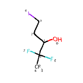 OC(CCI)C(F)(F)C(F)(F)F